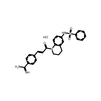 Cl.N=C(N)c1ccc(C=CC(=O)N2CCCc3cc(NS(=O)(=O)c4ccccc4)ccc32)cc1